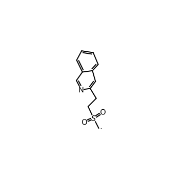 [CH2]S(=O)(=O)CCc1cc2ccccc2cn1